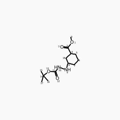 COC(=O)C1CCCC(NNC(=O)OC(C)(C)C)C1